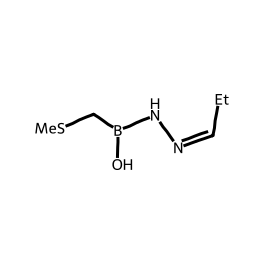 CC/C=N\NB(O)CSC